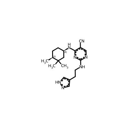 C[C@H]1CC[C@@H](Nc2nc(NCCc3cn[nH]c3)ncc2C#N)CC1(C)C